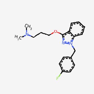 CN(C)CCCOc1nn(Cc2ccc(F)cc2)c2ccccc12